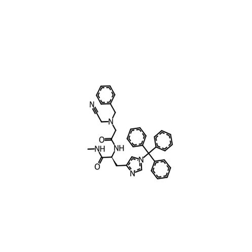 CNC(=O)[C@H](Cc1cn(C(c2ccccc2)(c2ccccc2)c2ccccc2)cn1)NC(=O)CN(CC#N)Cc1ccccc1